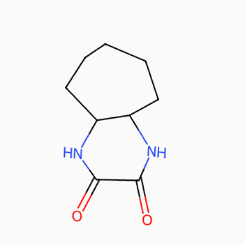 O=C1NC2CCCCCC2NC1=O